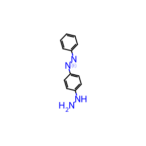 NNc1ccc(/N=N/c2ccccc2)cc1